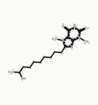 CC(O)CCCCCCCCc1nc2c(c(=O)[nH]c(=O)n2C)n1C